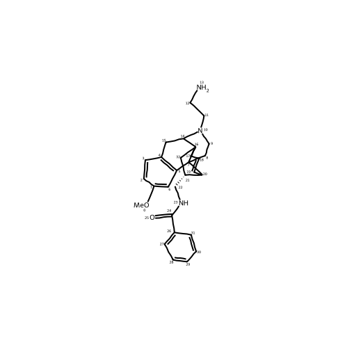 COc1ccc2c(c1)C13CCN(CCN)C(C2)C12CC=CC3[C@H](CNC(=O)c1ccccc1)C2